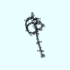 COc1ccc(C[C@@H]2NC(=O)[C@H]([C@@H](C)O)NC(=O)C3[C@@H]4CCN3C(=O)[C@@H]3Cc5cn(c6ccc(F)cc56)CCCCCCN(Cc5ccc(cc5)CCNC(=O)[C@]5(C)CCCN5C2=O)C(=O)CCC(=O)N[C@@H](C)C(=O)N[C@H](CNC(=O)COCCOCCNC(=O)COCCOCCNC(=O)CCCC(=O)O)C(=O)N[C@@H](Cc2cccc(c2)CNC(=O)CO4)C(=O)N3)cc1